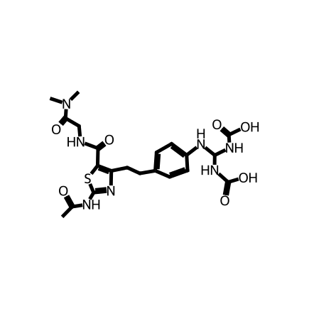 CC(=O)Nc1nc(CCc2ccc(NC(NC(=O)O)NC(=O)O)cc2)c(C(=O)NCC(=O)N(C)C)s1